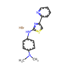 Br.CN(C)c1ccc(Nc2nc(-c3ccccn3)cs2)cc1